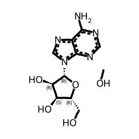 CO.Nc1ncnc2c1ncn2[C@@H]1O[C@H](CO)[C@@H](O)[C@H]1O